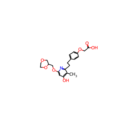 Cc1c(O)cc(OCC2COCCO2)nc1CCc1ccc(OCC(=O)O)cc1